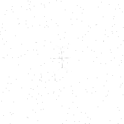 COC(=O)C(C)(C)P(=O)=O